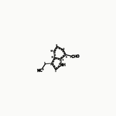 N#CCc1c[nH]c2c(C=O)cccc12